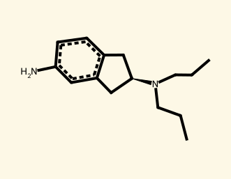 CCCN(CCC)[C@@H]1Cc2ccc(N)cc2C1